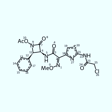 CON=C(C(=O)N[C@@H]1C(=O)N(OC(C)=O)[C@@H]1c1ccccc1)c1csc(NC(=O)CCl)n1